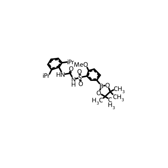 COc1ccc(B2OC(C)(C)C(C)(C)O2)cc1S(=O)(=O)NC(=O)Nc1c(C(C)C)cccc1C(C)C